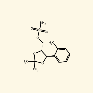 Cc1ccccc1[C@H]1OC(C)(C)O[C@@H]1COS(N)(=O)=O